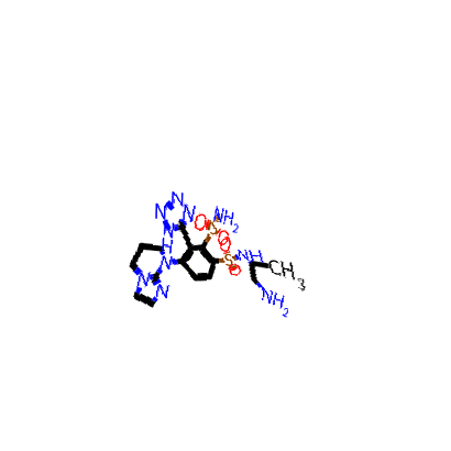 CC(CN)NS(=O)(=O)c1ccc(N2CCCn3ccnc32)c(-c2nnn[nH]2)c1S(N)(=O)=O